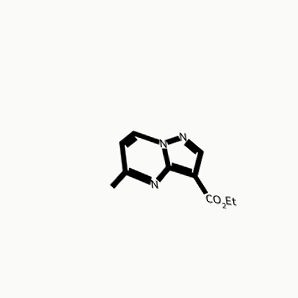 CCOC(=O)c1cnn2ccc(C)nc12